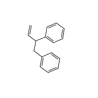 C=CC([CH]c1ccccc1)c1ccccc1